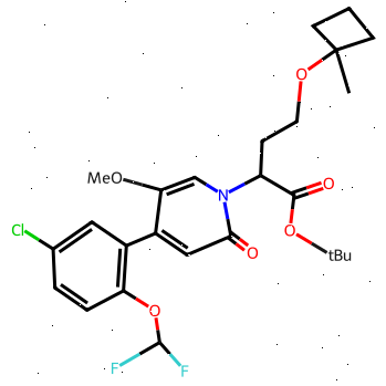 COc1cn(C(CCOC2(C)CCC2)C(=O)OC(C)(C)C)c(=O)cc1-c1cc(Cl)ccc1OC(F)F